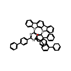 C1=CCCC(c2cccc(C3C=CC=C(n4c5ccccc5c5ccc6c7ccccc7n(-c7nc(-c8ccccc8)nc(-c8ccc(-c9ccccc9)cc8)n7)c6c54)C3c3ccccc3)c2)=C1